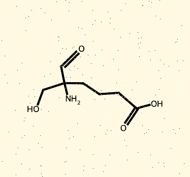 NC(C=O)(CO)CCCC(=O)O